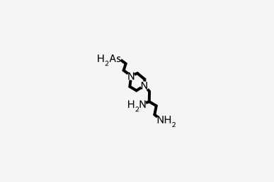 NCCC(N)CN1CCN(CC[AsH2])CC1